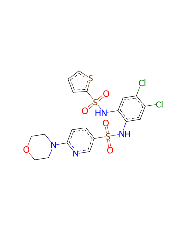 O=S(=O)(Nc1cc(Cl)c(Cl)cc1NS(=O)(=O)c1cccs1)c1ccc(N2CCOCC2)nc1